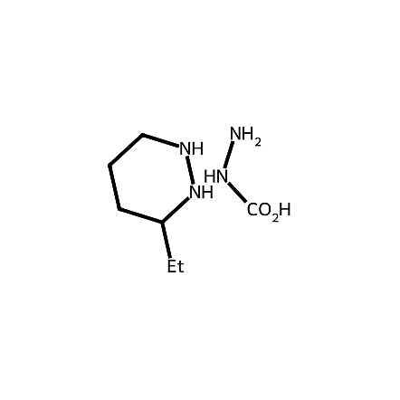 CCC1CCCNN1.NNC(=O)O